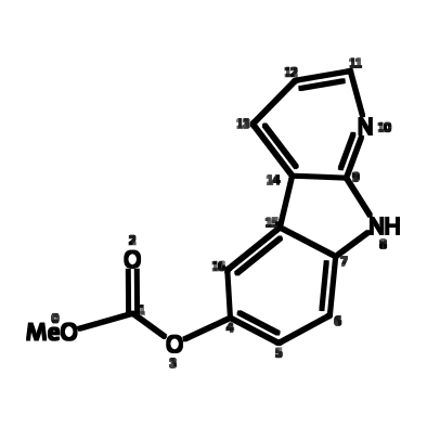 COC(=O)Oc1ccc2[nH]c3ncccc3c2c1